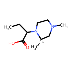 CCC(C(=O)O)N1CCN(C)C[C@@H]1C